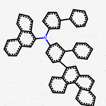 c1ccc(-c2cccc(N(c3ccc(-c4cc5ccc6ccccc6c5c5ccccc45)c(-c4ccccc4)c3)c3cc4ccccc4c4ccccc34)c2)cc1